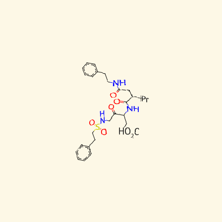 CC(C)C(CC(=O)NCCc1ccccc1)C(=O)NC(CC(=O)O)C(=O)CNS(=O)(=O)CCc1ccccc1